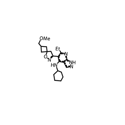 CCc1nc2[nH]ncc2c(NC2CCCCC2)c1C1=NOC2(C1)CC(COC)C2